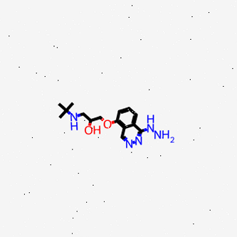 CC(C)(C)NCC(O)COc1cccc2c(NN)nncc12